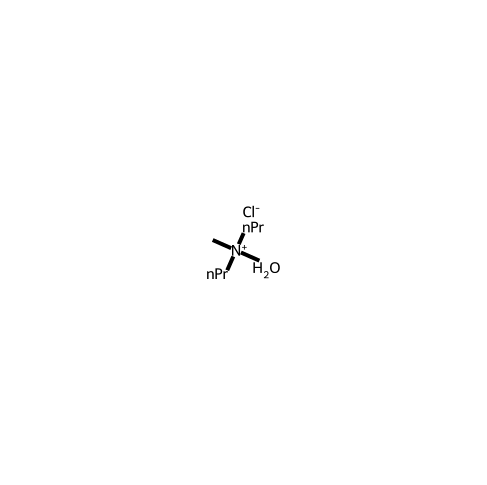 CCC[N+](C)(C)CCC.O.[Cl-]